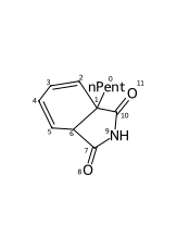 CCCCCC12C=CC=CC1C(=O)NC2=O